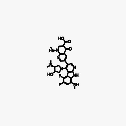 CNc1cc(F)c(F)c2c1[nH]c1ncc(-c3cnc4c(c3)c(=O)c(C(=O)O)cn4NC)c(N3CC(O)C(N(C)C)C3)c12